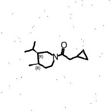 CC(C)[C@H]1CN(C(=O)CC2CC2)CC[C@H]1C